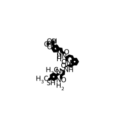 CC(S)c1ccc(CN(C)C[C@H](CCC(N)=O)NC(=O)[C@@H]2Cc3cccc4c3N2C(=O)[C@@H](NC(=O)c2cc3cc(C(=O)P(=O)(O)O)ccc3[nH]2)CC4)cc1